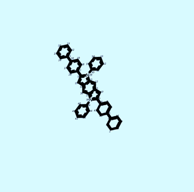 C1=CCCC(C2=CC=C(c3cc4cc5c(cc(-c6ccc(-c7ccccc7)cc6)n5-c5ccccc5)cc4n3-c3ccccc3)CC2)=C1